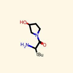 CC(C)(C)C(N)C(=O)N1CCC(O)C1